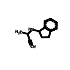 C#CC(C)NC1CCc2ccccc21